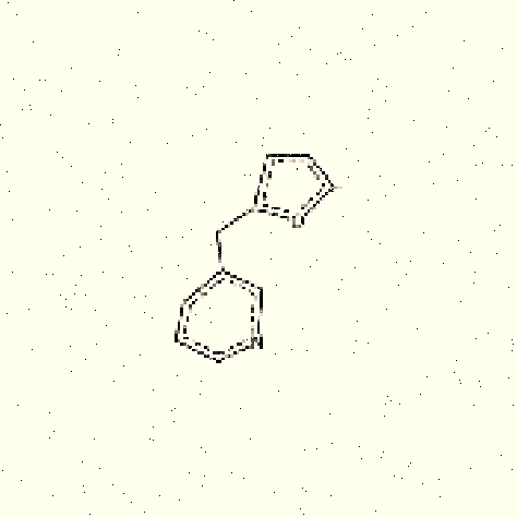 [c]1ccc(Cc2cccnc2)o1